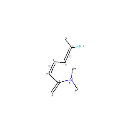 C=C(/C=C\C=C(/C)F)N(C)C